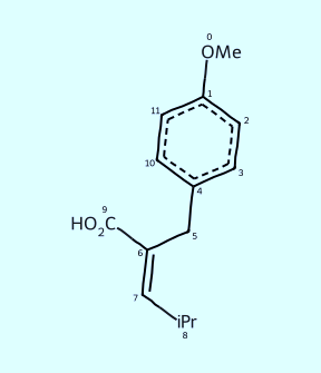 COc1ccc(C/C(=C\C(C)C)C(=O)O)cc1